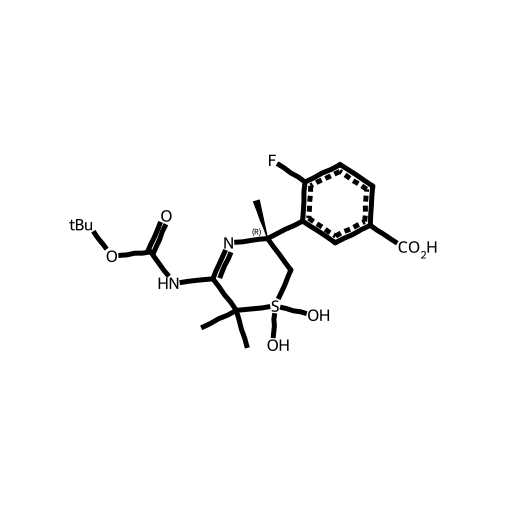 CC(C)(C)OC(=O)NC1=N[C@](C)(c2cc(C(=O)O)ccc2F)CS(O)(O)C1(C)C